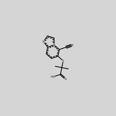 CC(C)(Sc1ccc2nccn2c1C#N)C(=O)O